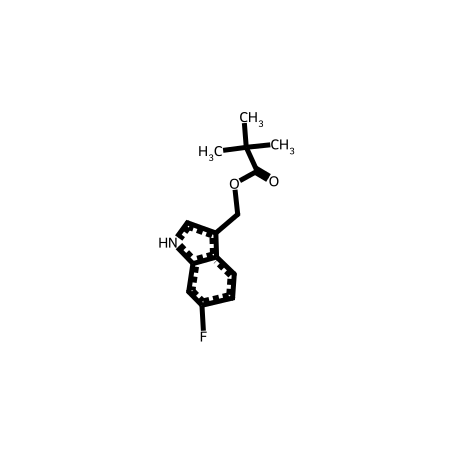 CC(C)(C)C(=O)OCc1c[nH]c2cc(F)ccc12